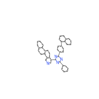 c1ccc(-c2nc(-c3ccc(-c4cccc5ccccc45)cc3)nc(-c3cncc4c3ccc3c5ccccc5ccc43)n2)cc1